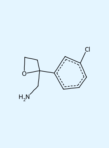 NCC1(c2cccc(Cl)c2)CCO1